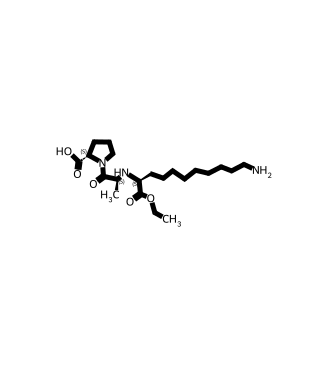 CCOC(=O)[C@H](CCCCCCCCCN)N[C@@H](C)C(=O)N1CCC[C@H]1C(=O)O